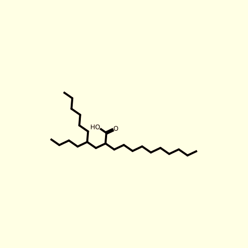 CCCCCCCCCCC(CC(CCCC)CCCCCC)C(=O)O